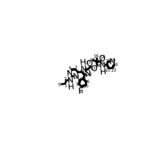 CCCNc1nccc(-c2[nH]c(C3OCC(C)(C(=O)Nc4cccnc4)CO3)nc2-c2ccc(F)cc2)n1